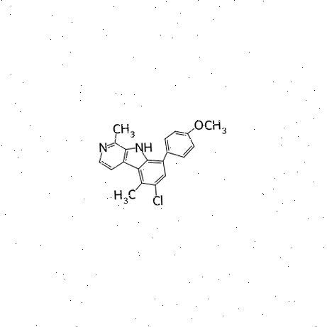 COc1ccc(-c2cc(Cl)c(C)c3c2[nH]c2c(C)nccc23)cc1